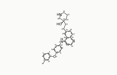 Cc1cccc(Oc2ccc(Nc3ncnc4ccc(CCC5(O)CCCNC5)cc34)cc2)c1